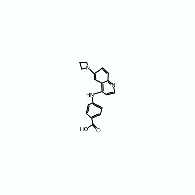 O=C(O)c1ccc(Nc2ccnc3ccc(N4CCC4)cc23)cc1